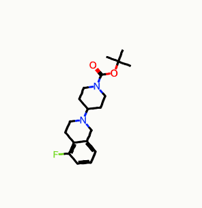 CC(C)(C)OC(=O)N1CCC(N2CCc3c(F)cccc3C2)CC1